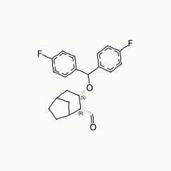 O=C[C@@H]1C2CCC(C2)C[C@@H]1OC(c1ccc(F)cc1)c1ccc(F)cc1